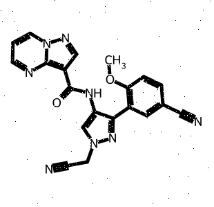 COc1ccc(C#N)cc1-c1nn(CC#N)cc1NC(=O)c1cnn2cccnc12